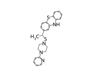 CC(SN1CCN(c2ccccn2)CC1)c1ccc2c(c1)Nc1ccccc1S2